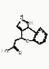 O=C(O)CC1Oc2ccccc2C2NNC=C12